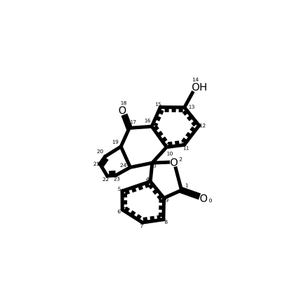 O=C1OC2(c3ccccc31)c1ccc(O)cc1C(=O)C1C=CC=CC12